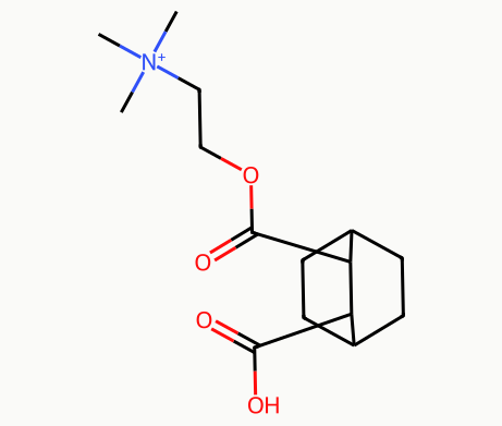 C[N+](C)(C)CCOC(=O)C1C2CCC(CC2)C1C(=O)O